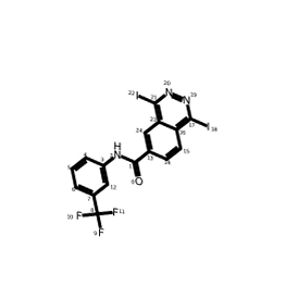 O=C(Nc1cccc(C(F)(F)F)c1)c1ccc2c(I)nnc(I)c2c1